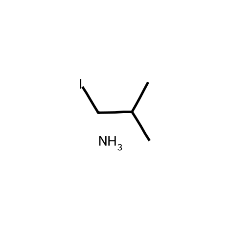 CC(C)CI.N